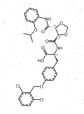 CC(C)Oc1ccccc1NC(=O)[C@@H]1OCO[C@H]1C(=O)N[C@@H](Cc1ccc(OCc2c(Cl)cccc2Cl)cc1)C(=O)O